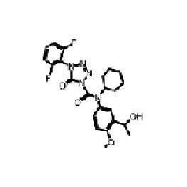 COc1ccc(N(C(=O)n2nnn(-c3c(F)cccc3F)c2=O)C2CCCCC2)cc1C(C)O